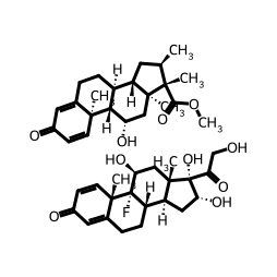 COC(=O)[C@@]1(C)[C@H](C)C[C@H]2[C@@H]3CCC4=CC(=O)C=C[C@]4(C)[C@H]3[C@@H](O)C[C@@]21C.C[C@]12C=CC(=O)C=C1CC[C@H]1[C@@H]3C[C@@H](O)[C@](O)(C(=O)CO)[C@@]3(C)C[C@H](O)[C@@]12F